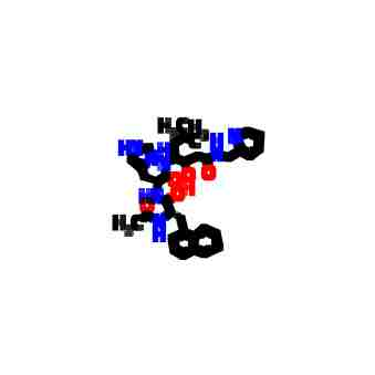 CC(=O)N[C@@H](Cc1cccc2ccccc12)C(=O)N[C@@H](Cc1c[nH]cn1)C(=O)NC(CC(C)C)C(O)CC(=O)NCc1ccccn1